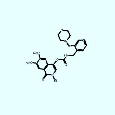 CCn1cc(OC(=O)NCc2ccccc2CN2CCOCC2)c2cc(OC)c(OC)cc2c1=O